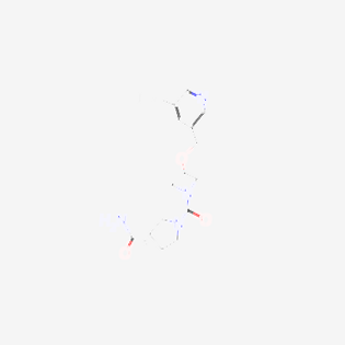 NC(=O)[C@H]1CCN(C(=O)N2CC(OCc3cncc(C(F)(F)F)c3)C2)C1